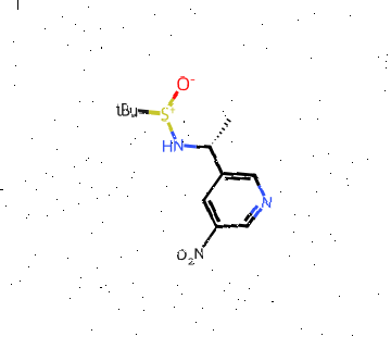 C[C@@H](N[S+]([O-])C(C)(C)C)c1cncc([N+](=O)[O-])c1